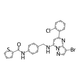 O=C(Nc1ccc(CNc2cc(-c3ccccc3Cl)nc3c(Br)cnn23)cc1)c1cccs1